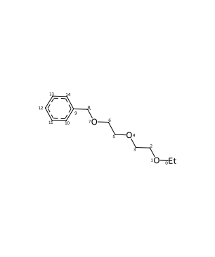 CCOCCOCCO[CH]c1ccccc1